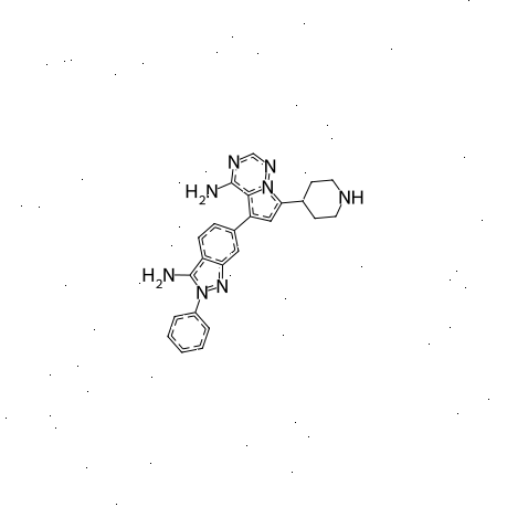 Nc1ncnn2c(C3CCNCC3)cc(-c3ccc4c(N)n(-c5ccccc5)nc4c3)c12